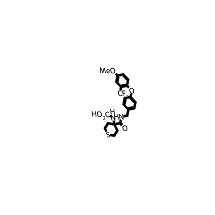 COc1ccc(Oc2ccc(CNC(=O)C3(NC(=O)O)CCSCC3)cc2)c(C(F)(F)F)c1